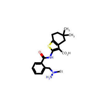 CCN(N)Cc1ccccc1C(=O)Nc1sc2c(c1C(=O)O)CC(C)(C)CC2